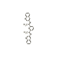 C/C(=N\c1cnc2ccccc2c1)c1cccc(/C(C)=N/c2cnc3ccccc3c2)n1